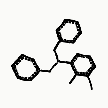 Cc1cccc(P(Cc2ccccc2)Cc2ccccc2)c1C